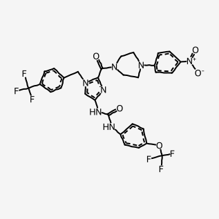 O=C(Nc1ccc(OC(F)(F)F)cc1)Nc1cn(Cc2ccc(C(F)(F)F)cc2)c(C(=O)N2CCN(c3ccc([N+](=O)[O-])cc3)CC2)n1